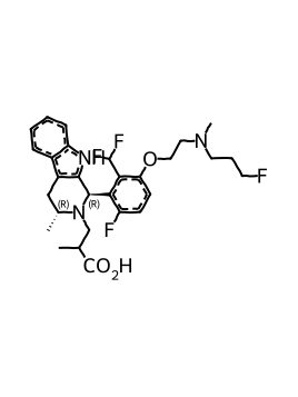 CC(CN1[C@H](c2c(F)ccc(OCCN(C)CCCF)c2C(F)F)c2[nH]c3ccccc3c2C[C@H]1C)C(=O)O